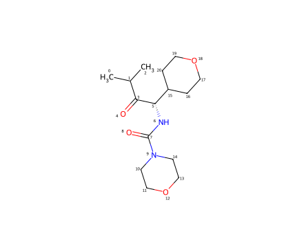 CC(C)C(=O)[C@@H](NC(=O)N1CCOCC1)C1CCOCC1